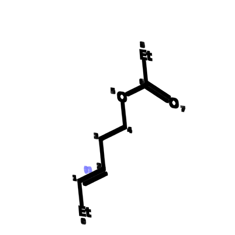 CC/C=C/CCOC(=O)CC